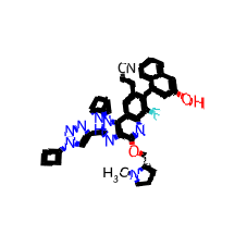 CN1CCC[C@H]1COc1nc2c(F)c(-c3cc(O)cc4ccccc34)c(CCC#N)cc2c2c1nc(-c1cn(C3CCC3)nn1)n2C1C2CNC1C2